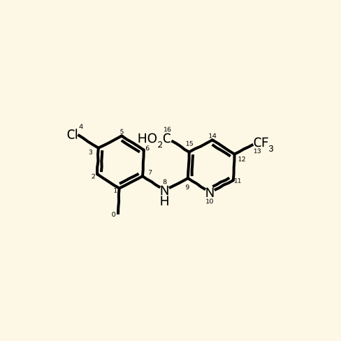 Cc1cc(Cl)ccc1Nc1ncc(C(F)(F)F)cc1C(=O)O